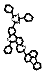 c1ccc(-c2nc(-c3ccccc3)nc(-c3ccc4nc(-c5ccccc5)c5c6ccc(-c7ccc8c9c(cccc79)-c7ccccc7-8)nc6ccc5c4c3)n2)cc1